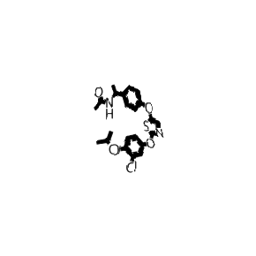 CC(=O)NC(C)c1ccc(Oc2cnc(Oc3ccc(OC(C)C)c(Cl)c3)s2)cc1